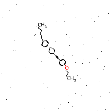 CCCCCCc1ccc([C@H]2CC[C@H](C#Cc3ccc(OCCCC)cc3)CC2)cc1